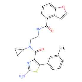 Cc1cccc(-c2sc(N)nc2C(=O)N(CCNC(=O)c2cccc3occc23)C2CC2)c1